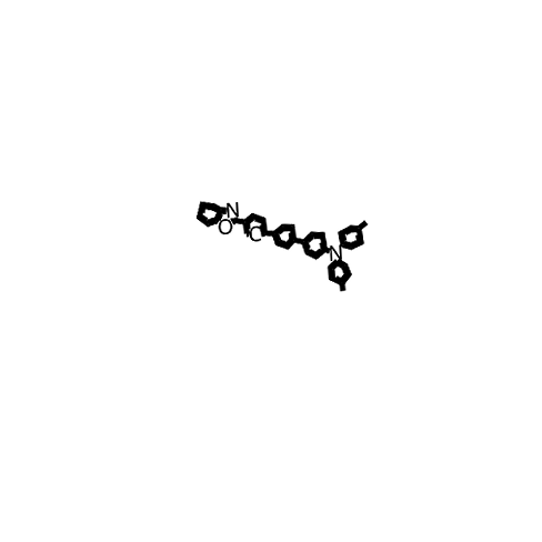 Cc1ccc(N(c2ccc(C)cc2)c2ccc(-c3ccc(-c4ccc(-c5nc6ccccc6o5)cc4)cc3)cc2)cc1